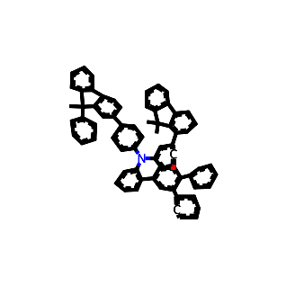 CC1(C)c2ccccc2-c2cccc(-c3cccc(N(c4ccc(-c5ccc6c(c5)C(C)(c5ccccc5)c5ccccc5-6)cc4)c4ccccc4-c4ccc(-c5ccccc5)c(-c5ccccc5)c4)c3)c21